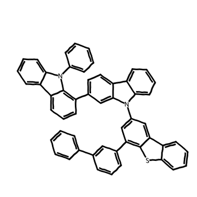 c1ccc(-c2cccc(-c3cc(-n4c5ccccc5c5ccc(-c6cccc7c8ccccc8n(-c8ccccc8)c67)cc54)cc4c3sc3ccccc34)c2)cc1